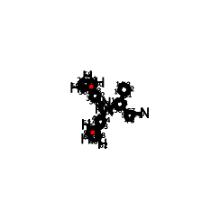 N#Cc1cccc(-c2cc(-c3ccccc3)cc(-c3nc(-c4ccc(C56C[C@H]7C[C@@H](C5)C[C@@H](C6)C7)cc4)nc(-c4ccc(C56C[C@H]7C[C@@H](C5)C[C@@H](C6)C7)cc4)n3)c2)c1